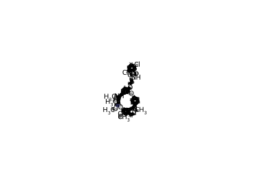 CN[C@@H]1Cc2ccc(OCCCNS(=O)(=O)c3cc(Cl)ccc3Cl)c(c2)Oc2ccc(cc2)C[C@H]2c3cc(c(OC)cc3CCN2C)O/C(=C\OC)C1C